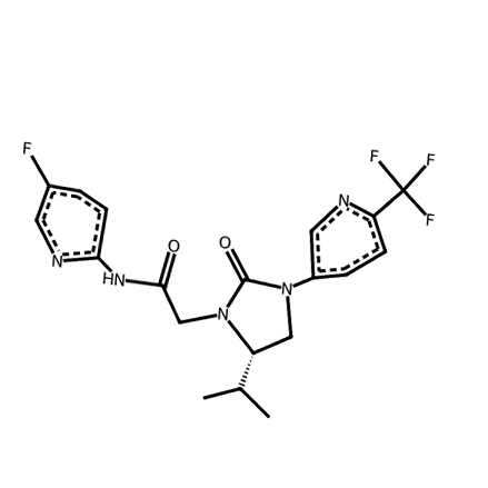 CC(C)[C@H]1CN(c2ccc(C(F)(F)F)nc2)C(=O)N1CC(=O)Nc1ccc(F)cn1